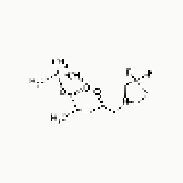 CC(CC(=O)CN1CCC(F)(F)C1)C(=O)OC(C)(C)C